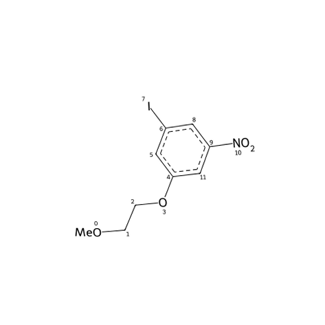 COCCOc1cc(I)cc([N+](=O)[O-])c1